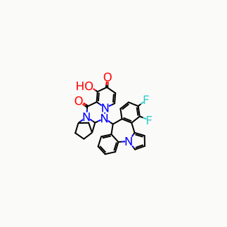 O=C1c2c(O)c(=O)ccn2N(C2c3ccccc3-n3cccc3-c3c2ccc(F)c3F)C2C3CCC(C3)N12